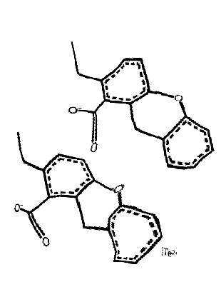 CCc1ccc2c(c1C(=O)[O-])Cc1ccccc1O2.CCc1ccc2c(c1C(=O)[O-])Cc1ccccc1O2.[Te+2]